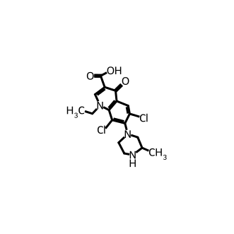 CCn1cc(C(=O)O)c(=O)c2cc(Cl)c(N3CCNC(C)C3)c(Cl)c21